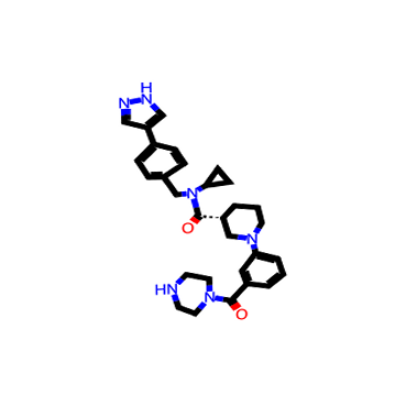 O=C(c1cccc(N2CCC[C@@H](C(=O)N(Cc3ccc(-c4cn[nH]c4)cc3)C3CC3)C2)c1)N1CCNCC1